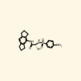 CC(C)[C@@H](NS(=O)(=O)c1ccc(N)cc1)C(=O)Nc1c2c(cc3c1CCC3)CCC2